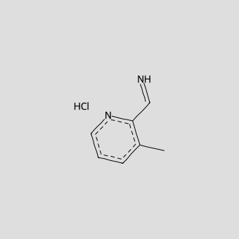 Cc1cccnc1C=N.Cl